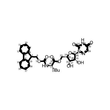 CC[C@@H](C)[C@@H](NC(=O)OCC1c2ccccc2-c2ccccc21)C(=O)OC[C@H]1O[C@@H](n2ncc(=O)[nH]c2=O)[C@H](O)[C@@H]1O